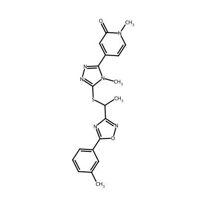 Cc1cccc(-c2nc(C(C)Sc3nnc(-c4ccn(C)c(=O)c4)n3C)no2)c1